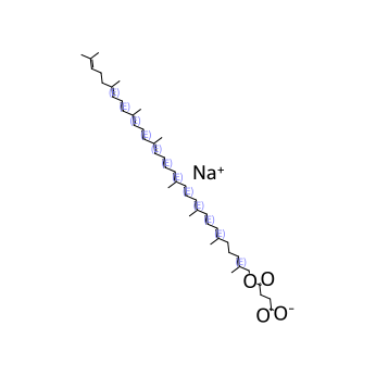 CC(C)=CCC/C(C)=C/C=C/C(C)=C/C=C/C(C)=C/C=C/C=C(C)/C=C/C=C(C)/C=C/C=C(\C)CC/C=C(\C)COC(=O)CCC(=O)[O-].[Na+]